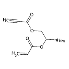 C#CC(=O)OCC(CCCCCC)OC(=O)C=C